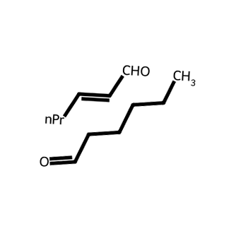 CCCC=CC=O.CCCCCC=O